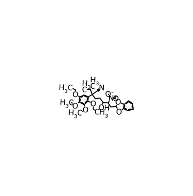 CCOc1cc(C(C#N)(CCC(O)C(CC2Oc3ccccc3O2)[N+](=O)[O-])C(C)C)c(OCC)c(OC)c1OC